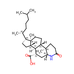 CC(C)CCC[C@@H](C)[C@H]1CC[C@H]2[C@@H]3[C@@H](C(=O)O)C[C@H]4NC(=O)CC[C@]4(C)[C@H]3CC[C@]12C